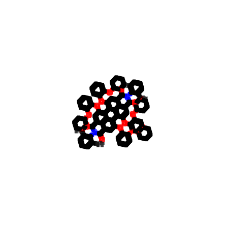 CC(C)c1cccc(C(C)C)c1N1C(=O)c2cc(Oc3ccccc3OC3CCCCC3)c3c4c(Oc5ccccc5OC5CCCCC5)cc5c6c(cc(Oc7ccccc7OC7CCCCC7)c(c7c(Oc8ccccc8OC8CCCCC8)cc(c2c37)C1=O)c64)C(=O)N(c1c(C(C)C)cccc1C(C)C)C5=O